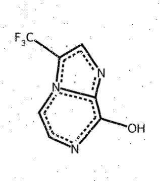 Oc1nccn2c(C(F)(F)F)cnc12